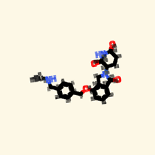 CCCCNCc1ccc(COc2cccc3c2CN(C2CCC(=O)NC2=O)C3=O)cc1